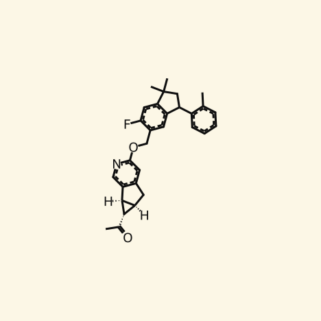 CC(=O)[C@H]1[C@@H]2Cc3cc(OCc4cc5c(cc4F)C(C)(C)CC5c4ccccc4C)ncc3[C@@H]21